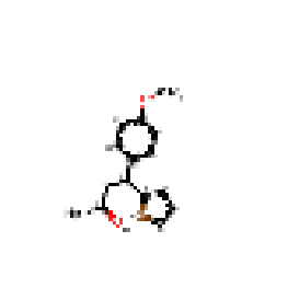 COc1ccc(C(CC(C)=O)c2cccs2)cc1